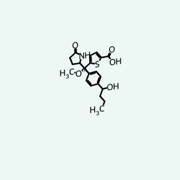 CCCC(O)c1ccc([C@@](OC)(c2ccc(C(=O)O)s2)C2CCC(=O)N2)cc1